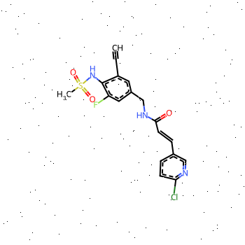 C#Cc1cc(CNC(=O)C=Cc2ccc(Cl)nc2)cc(F)c1NS(C)(=O)=O